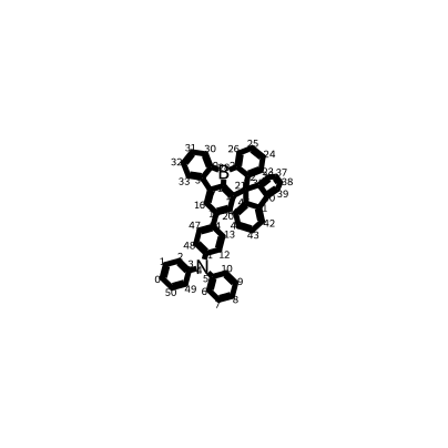 c1ccc(N(c2ccccc2)c2ccc(-c3cc4c5c(c3)C3(c6ccccc6B5c5ccccc5-4)c4ccccc4-c4ccccc43)cc2)cc1